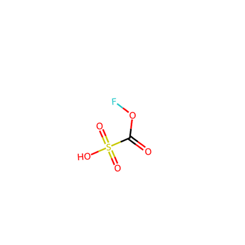 O=C(OF)S(=O)(=O)O